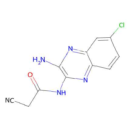 N#CCC(=O)Nc1nc2ccc(Cl)cc2nc1N